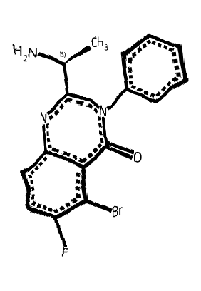 C[C@H](N)c1nc2ccc(F)c(Br)c2c(=O)n1-c1ccccc1